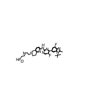 Cc1nc2c(F)cc(-c3nc(Nc4ccc5c(n4)CCN(CCN(C)CC[PH](C)=O)C5)ncc3F)cc2n1C(C)(C)C